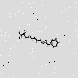 CNC(=O)COCCCCOCCN1CCCCC1